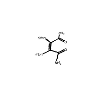 CCCCCCCCC/C(C(N)=O)=C(\CCCCCCCCC)C(N)=O